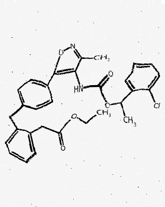 CCOC(=O)Cc1ccccc1Cc1ccc(-c2onc(C)c2NC(=O)OC(C)c2ccccc2Cl)cc1